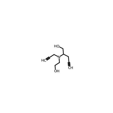 C#CCC(CO)N(CC#C)CCO